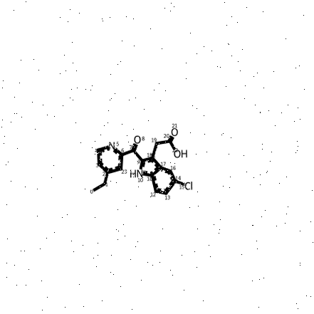 CCc1ccnc(C(=O)c2[nH]c3ccc(Cl)cc3c2CC(=O)O)c1